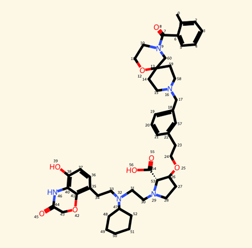 Cc1ccccc1C(=O)N1CCOC2(CCN(Cc3cccc(CCOC4CCN(CCN(CCc5ccc(O)c6c5OCC(=O)N6)C5CCCCC5)[C@@H]4C(=O)O)c3)CC2)C1